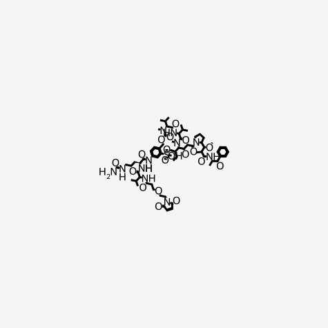 CCC(C)C(C(CC(=O)N1CCCC1C(OC)C(C)C(=O)NC(C)C(=O)c1ccccc1)OC)N(C)C(=O)C(NC(=O)C(C(C)C)N(C)C(=O)OCc1ccc(NC(=O)[C@H](CCCNC(N)=O)NC(=O)C(NC(=O)CCOCCN2C(=O)C=CC2=O)C(C)C)cc1S(=O)(=O)O)C(C)C